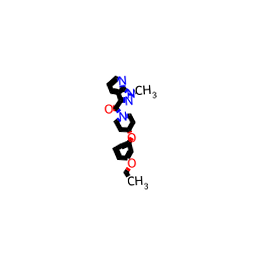 CCOc1cccc(OC2CCN(C(=O)c3nn(C)c4ncccc34)CC2)c1